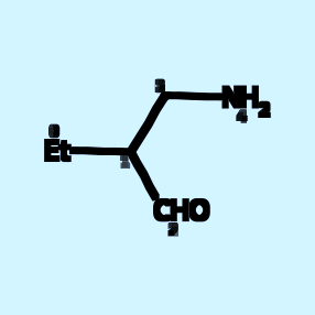 CCC(C=O)CN